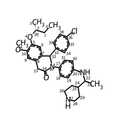 CC[C@@H](C)Oc1cc2c(cc1OC)CC(=O)N(c1ccc(NC(C)C3CCNCC3)cc1)C2c1ccc(Cl)cc1